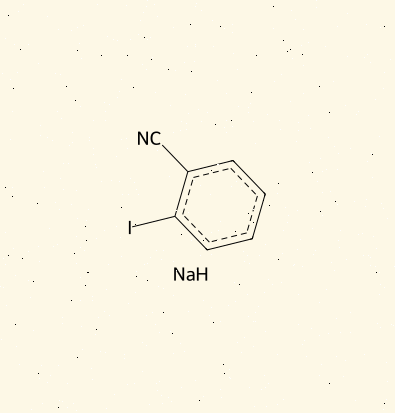 N#Cc1ccccc1I.[NaH]